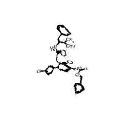 O=C(Cn1c(-c2ccc(Cl)cc2)ncc(NC(=O)OCc2ccccc2)c1=O)NC(Cc1ccccc1)C(O)C(F)(F)F